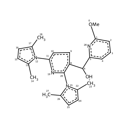 COc1cccc(C(O)c2ccc(-n3c(C)ccc3C)nc2-n2c(C)ccc2C)n1